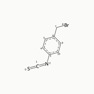 S=C=Nc1ccc(CBr)cc1